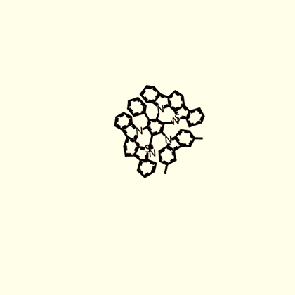 Cc1ccc2c(c1)c1cc(C)ccc1n2-c1c(C#N)c(-n2c3ccccc3c3ccc4c5ccccc5sc4c32)c(-c2ccccc2)c(-n2c3ccccc3c3ccc4c5ccccc5sc4c32)c1C#N